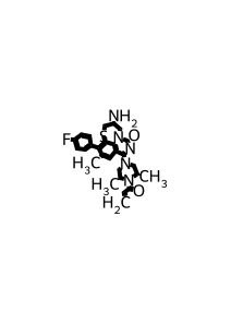 C=CC(=O)N1[C@H](C)CN(c2nc(=O)n3c4c(c(-c5ccc(F)cc5)c(C)cc24)SC[C@@H](N)C3)C[C@@H]1C